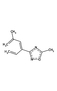 C=C/C(=C\C(=C)C)c1noc(C)n1